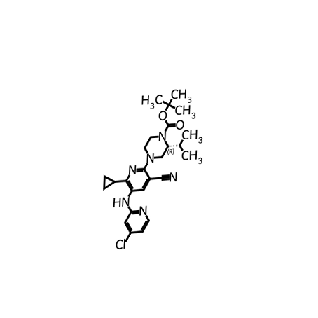 CC(C)[C@@H]1CN(c2nc(C3CC3)c(Nc3cc(Cl)ccn3)cc2C#N)CCN1C(=O)OC(C)(C)C